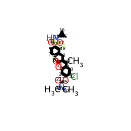 Cc1c(Cc2c(F)ccc(S(=O)(=O)NC3CC3)c2F)c(=O)oc2cc(OC(=O)N(C)C)c(Cl)cc12